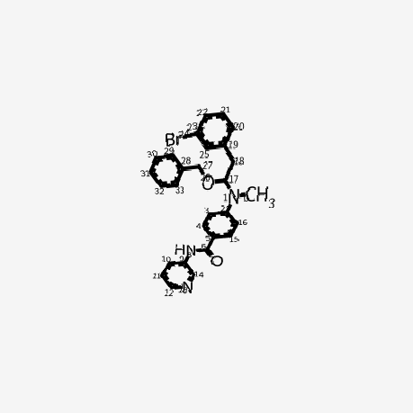 CN(c1ccc(C(=O)Nc2cccnc2)cc1)C(Cc1cccc(Br)c1)OCc1ccccc1